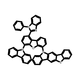 c1ccc(-n2c(-c3ccc(-n4c5ccccc5c5ccccc54)c4oc5c(-n6c7ccccc7c7cc8sc9ccccc9c8cc76)cccc5c34)nc3ccccc32)cc1